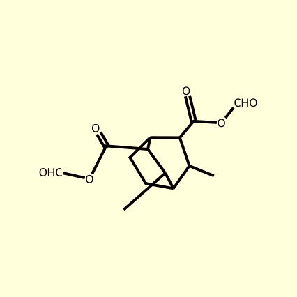 CC1C2CCC(C1C(=O)OC=O)C(C(=O)OC=O)C2C